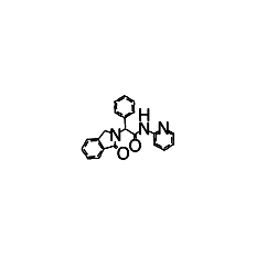 O=C(Nc1ccccn1)C(c1ccccc1)N1Cc2ccccc2C1=O